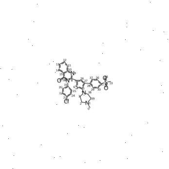 CN1CCN(c2sc(-c3nc4ccccc4c(=O)n3-c3ccc(Cl)cc3)cc2-c2ccc(S(C)(=O)=O)cc2)CC1